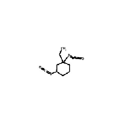 CCC1(N=C=O)CCCC(N=C=O)C1